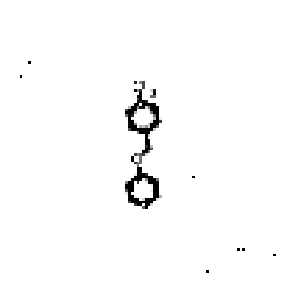 FC(F)(F)c1ccc(COc2ccccc2)cc1